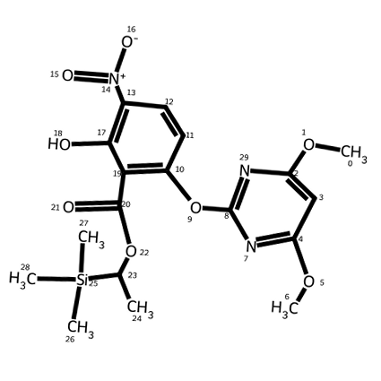 COc1cc(OC)nc(Oc2ccc([N+](=O)[O-])c(O)c2C(=O)OC(C)[Si](C)(C)C)n1